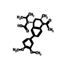 COc1ccc(-c2ccc3c(c2)[C@H](N(C(=O)O)C(C)C)C[C@H](C)N3C(C)=O)cc1OC